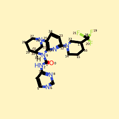 O=C(Nc1ccncn1)N1c2nc(N3CCCC(C(F)(F)F)C3)ccc2N2CCC[C@H]1C2